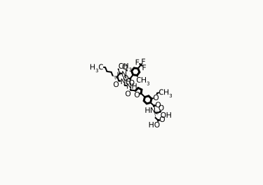 CCCCC[C@@H](C(=O)NCNC(=O)c1ccc(-c2ccc(C(=O)N[C@@H](CC(=O)O)C(=O)O)c(OCC)c2)o1)[C@@H](CC)N(C=O)OC(=O)c1ccc(C(F)(F)F)cc1C